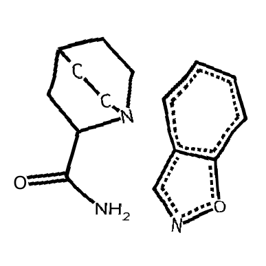 NC(=O)C1CC2CCN1CC2.c1ccc2oncc2c1